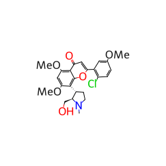 COc1ccc(Cl)c(-c2cc(=O)c3c(OC)cc(OC)c([C@@H]4CCN(C)[C@H]4CO)c3o2)c1